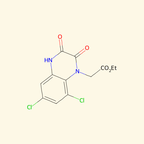 CCOC(=O)Cn1c(=O)c(=O)[nH]c2cc(Cl)cc(Cl)c21